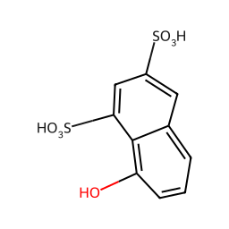 O=S(=O)(O)c1cc(S(=O)(=O)O)c2c(O)cccc2c1